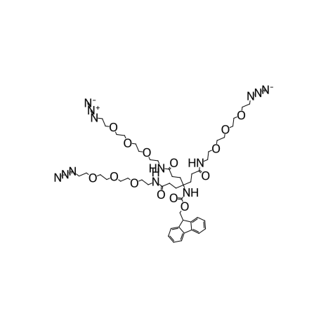 [N-]=[N+]=NCCOCCOCCOCCNC(=O)CCC(CCC(=O)NCCOCCOCCOCCN=[N+]=[N-])(CCC(=O)NCCOCCOCCOCCN=[N+]=[N-])NC(=O)OCC1c2ccccc2-c2ccccc21